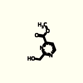 COC(=O)c1ccnc(CO)n1